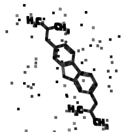 CC(C)Cc1ccc2c(c1)Cc1cc(CC(C)C)ccc1-2